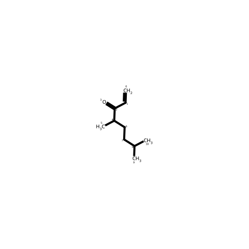 C=CC(=O)C(C)CCC(C)C